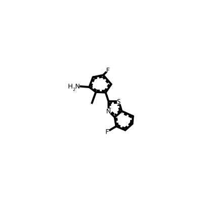 Cc1c(N)cc(F)cc1-c1nc2c(F)cccc2s1